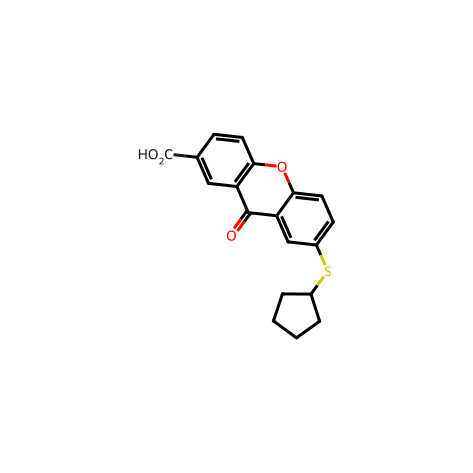 O=C(O)c1ccc2oc3ccc(SC4CCCC4)cc3c(=O)c2c1